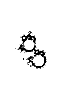 Cc1cn2c3nc(ccc13)OCC(C1CCC3(C1)Cn1cc(O)c(=O)c(n1)C(=O)NCCCCc1cnc4c(ccn43)c1)CCC(=O)c1nn(cc(O)c1=O)CC21CCCC1